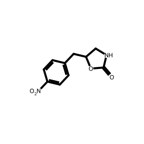 O=C1NCC(Cc2ccc([N+](=O)[O-])cc2)O1